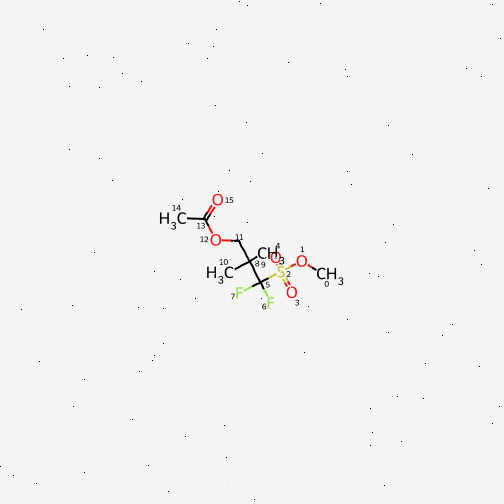 COS(=O)(=O)C(F)(F)C(C)(C)COC(C)=O